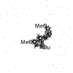 COc1ccc(CN2CCN(c3ccn(-c4cc(C)nc(Nc5ccc(OC)cc5C(F)F)c4CCO[Si](C)(C)C(C)(C)C)n3)C2=O)cc1